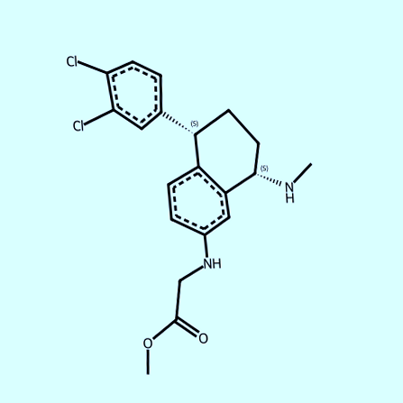 CN[C@H]1CC[C@@H](c2ccc(Cl)c(Cl)c2)c2ccc(NCC(=O)OC)cc21